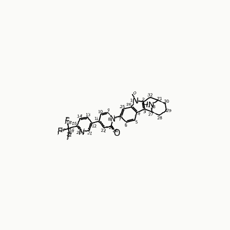 Cn1c2c(c3ccc(-n4ccc(-c5ccc(C(F)(F)F)nc5)cc4=O)cc31)C1CCCC(C2)N1